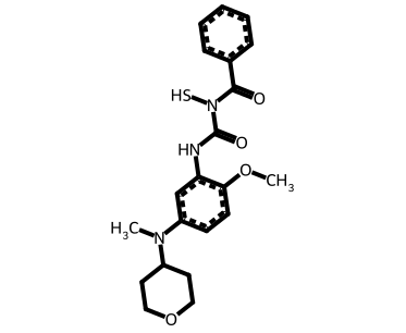 COc1ccc(N(C)C2CCOCC2)cc1NC(=O)N(S)C(=O)c1ccccc1